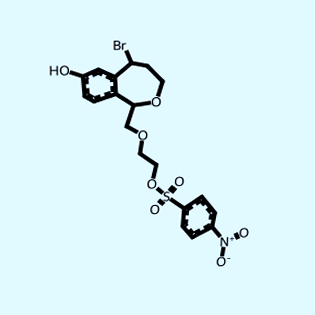 O=[N+]([O-])c1ccc(S(=O)(=O)OCCOCC2OCCC(Br)c3cc(O)ccc32)cc1